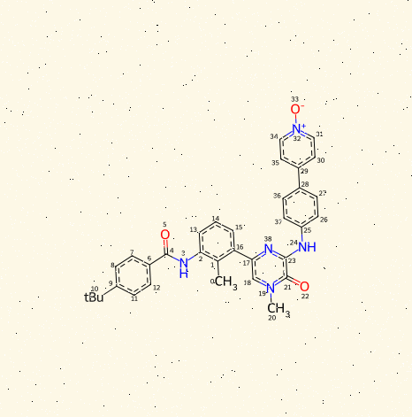 Cc1c(NC(=O)c2ccc(C(C)(C)C)cc2)cccc1-c1cn(C)c(=O)c(Nc2ccc(-c3cc[n+]([O-])cc3)cc2)n1